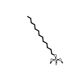 CCCCCCCCCCCCCO[Si](F)(OC)OC